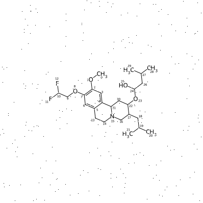 COc1cc2c(cc1OCC(F)F)CCN1CC(CC(C)C)C(OC(O)CC(C)C)CC21